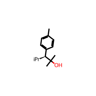 Cc1ccc([C@H](C(C)C)C(C)(C)O)cc1